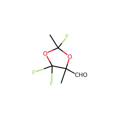 CC1(F)OC(F)(F)C(C)(C=O)O1